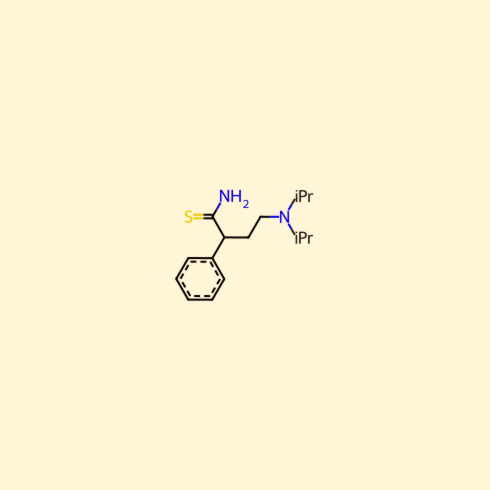 CC(C)N(CCC(C(N)=S)c1ccccc1)C(C)C